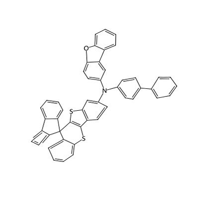 c1ccc(-c2ccc(N(c3ccc4c5c(sc4c3)C3(c4ccccc4S5)c4ccccc4-c4ccccc43)c3ccc4oc5ccccc5c4c3)cc2)cc1